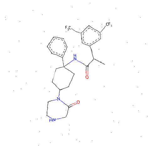 CC(C(=O)NC1(c2ccccc2)CCC(N2CCNCC2=O)CC1)c1cc(C(F)(F)F)cc(C(F)(F)F)c1